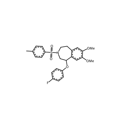 COc1cc2c(cc1OC)C(Oc1ccc(F)cc1)CN(S(=O)(=O)c1ccc(C)cc1)CC2